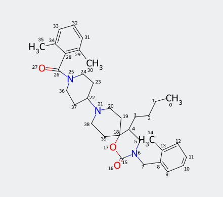 CCCCC1CN(Cc2ccccc2C)C(=O)OC12CCN(C1CCN(C(=O)c3c(C)cccc3C)CC1)CC2